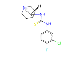 Fc1ccc(NC(=S)N[C@H]2CN3CCC2CC3)cc1Cl